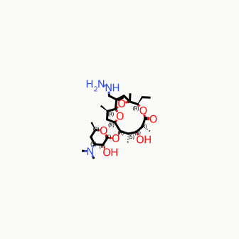 CC[C@H]1OC(=O)[C@H](C)[C@@H](O)[C@H](C)[C@@H](O[C@@H]2O[C@H](C)C[C@H](N(C)C)[C@H]2O)[C@@]2(C)C[C@@H](C)C3(OC1(C)C=C3CNN)O2